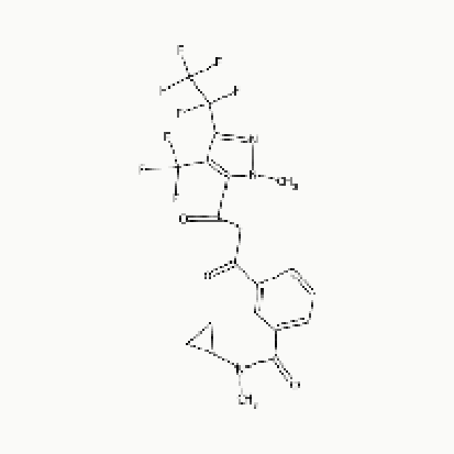 CN(C(=O)c1cccc(C(=O)CC(=O)c2c(C(F)(F)F)c(C(F)(F)C(F)(F)F)nn2C)c1)C1CC1